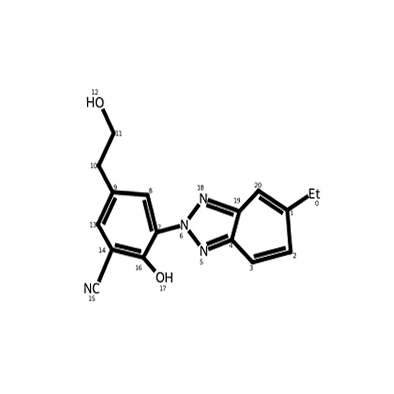 CCc1ccc2nn(-c3cc(CCO)cc(C#N)c3O)nc2c1